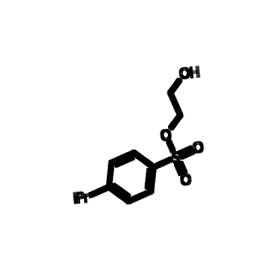 CC(C)c1ccc(S(=O)(=O)OCCO)cc1